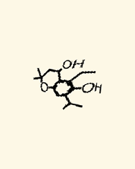 CCc1c(O)c(C(C)C)cc2c1C(O)CC(C)(C)O2